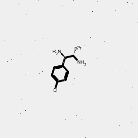 CCC[C@H](N)[C@H](N)c1ccc(Cl)cc1